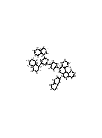 c1ccc2cc(-c3nc4ccccc4c4c3cc(-c3ccc(-c5nc(-c6cccc7ccccc67)nc(-c6cccc7ccccc67)n5)cc3)c3ccccc34)ccc2c1